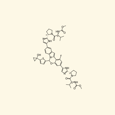 COC(=O)N[C@H](C(=O)N1CCC[C@H]1c1ncc(-c2cc(F)c3c(c2)OC(c2ccc(C4(O)CC4)s2)n2c-3cc3cc(-c4cnc([C@@H]5CCCN5C(=O)[C@@H](NC(=O)OC)C(C)C)[nH]4)ccc32)[nH]1)C(C)C